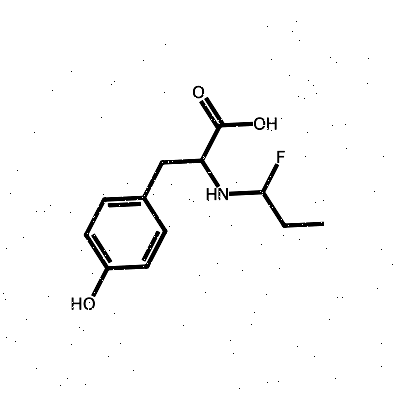 CCC(F)NC(Cc1ccc(O)cc1)C(=O)O